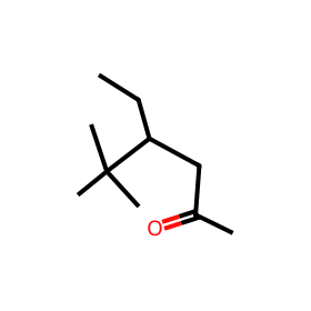 CCC(CC(C)=O)C(C)(C)C